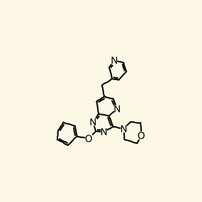 c1ccc(Oc2nc(N3CCOCC3)c3ncc(Cc4cccnc4)cc3n2)cc1